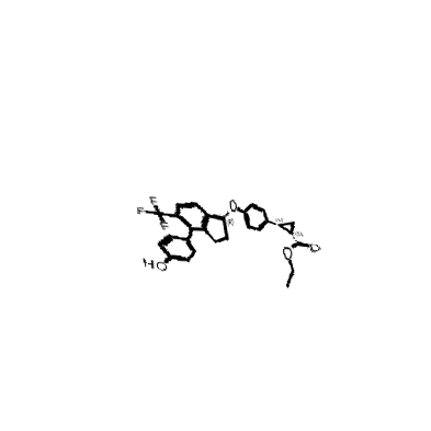 CCOC(=O)[C@H]1C[C@@H]1c1ccc(O[C@@H]2CCc3c2ccc(C(F)(F)F)c3-c2ccc(O)cc2)cc1